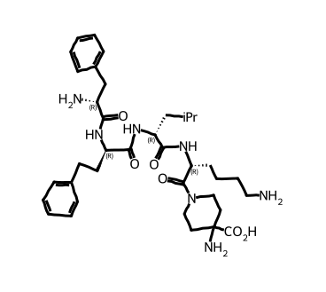 CC(C)C[C@@H](NC(=O)[C@@H](CCc1ccccc1)NC(=O)[C@H](N)Cc1ccccc1)C(=O)N[C@H](CCCCN)C(=O)N1CCC(N)(C(=O)O)CC1